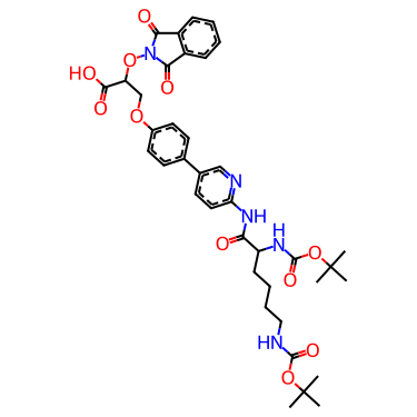 CC(C)(C)OC(=O)NCCCCC(NC(=O)OC(C)(C)C)C(=O)Nc1ccc(-c2ccc(OCC(ON3C(=O)c4ccccc4C3=O)C(=O)O)cc2)cn1